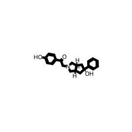 O=C(CN1C[C@@H]2C[C@@](O)(c3ccccc3)C[C@@H]2C1)c1ccc(O)cc1